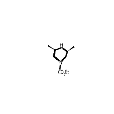 CCOC(=O)N1C[C@@H](C)N[C@@H](C)C1